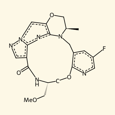 COC[C@H]1COc2ncc(F)cc2CN2c3nc4c(cnn4cc3OC[C@H]2C)C(=O)N1